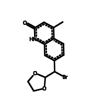 Cc1cc(=O)[nH]c2cc(C(Br)C3OCCO3)ccc12